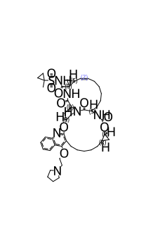 CC1(S(=O)(=O)NC(=O)[C@@]23C[C@H]2/C=C\CCCCC[C@@H]2NC(=O)O[C@@H]4C[C@H]4CCCCCc4c(nc5ccccc5c4OCCN4CCCC4)O[C@@H]4C[C@H](C(=O)N3)N(C4)C2=O)CC1